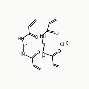 C=CC(=O)[NH][Ti+][NH]C(=O)C=C.C=CC(=O)[NH][Ti+][NH]C(=O)C=C.[Cl-].[Cl-]